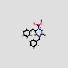 COC(=O)N1CC(C)N(Cc2ccccc2)CC1Cc1ccccc1